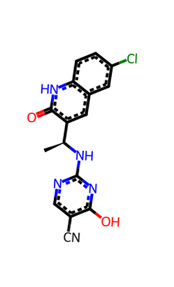 C[C@H](Nc1ncc(C#N)c(O)n1)c1cc2cc(Cl)ccc2[nH]c1=O